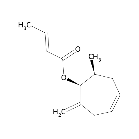 C=C1CC=CC[C@H](C)[C@@H]1OC(=O)/C=C/C